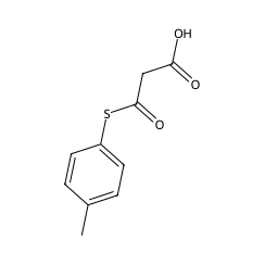 Cc1ccc(SC(=O)CC(=O)O)cc1